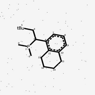 CP(C)C(CC(C)(C)C)c1cccc2c1CCCC2